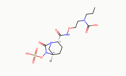 CCCN(CCONC(=O)[C@@H]1CC[C@@H]2CN1C(=O)N2OS(=O)(=O)O)C(=O)O